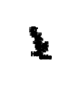 COC/C=C(\CO)C1C(C)c2c(C)cc(C)cc2-c2c3sc(-c4sc(-c5ccc(CC(C)C)cc5)c(C)c4C)c(C)c3cc[n+]21